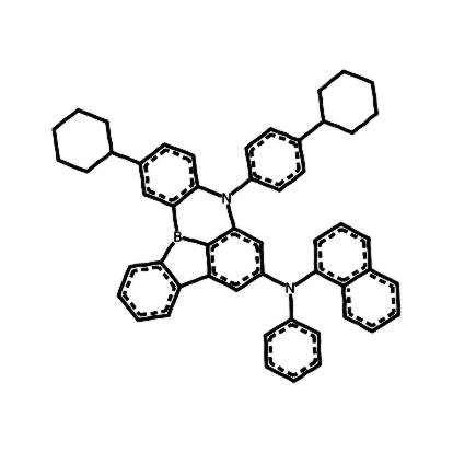 c1ccc(N(c2cc3c4c(c2)N(c2ccc(C5CCCCC5)cc2)c2ccc(C5CCCCC5)cc2B4c2ccccc2-3)c2cccc3ccccc23)cc1